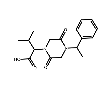 CC(C)C(C(=O)O)N1CC(=O)N(C(C)c2ccccc2)CC1=O